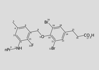 CCCNc1cc(C)cc(COc2c(Br)cc(CCC(=O)O)cc2Br)c1F